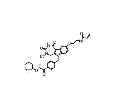 C=CC(=O)NCCOc1ccc2c(c1)c1c(n2Cc2ccc(C(=O)NOC3CCCCO3)cc2)CN(CC)C(=O)N(C)C1=O